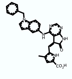 Cc1cc(C(=O)O)[nH]c1C=C1C(=O)Nc2ncnc(Nc3ccc4c(ccn4Cc4ccccc4)c3)c21